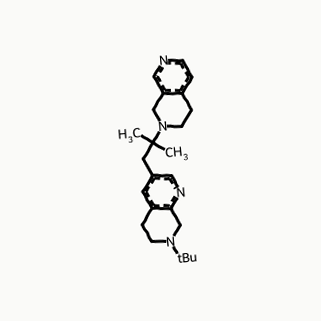 CC(C)(C)N1CCc2cc(CC(C)(C)N3CCc4ccncc4C3)cnc2C1